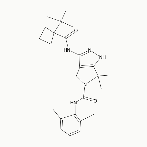 Cc1cccc(C)c1NC(=O)N1Cc2c(NC(=O)C3(S(C)(C)C)CCC3)n[nH]c2C1(C)C